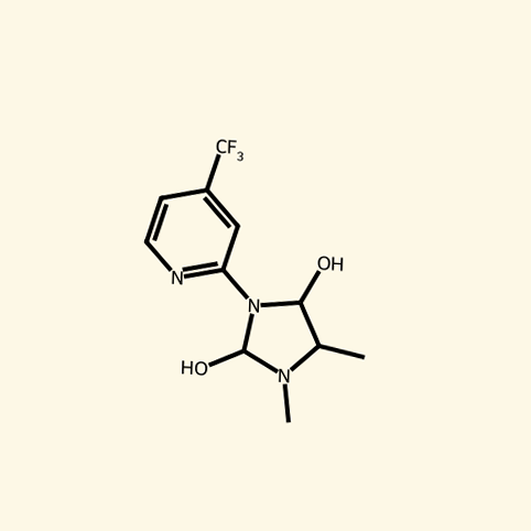 CC1C(O)N(c2cc(C(F)(F)F)ccn2)C(O)N1C